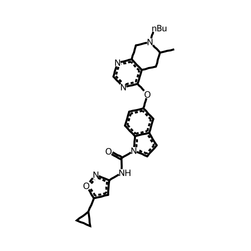 CCCCN1Cc2ncnc(Oc3ccc4c(ccn4C(=O)Nc4cc(C5CC5)on4)c3)c2CC1C